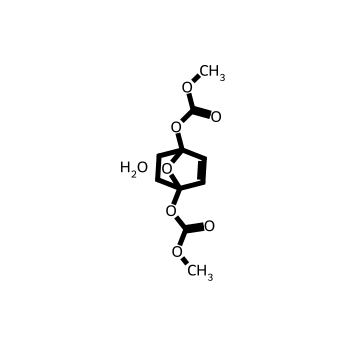 COC(=O)OC12C=CC(OC(=O)OC)(CC1)O2.O